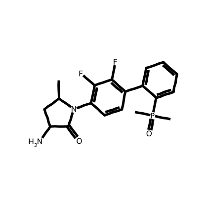 CC1CC(N)C(=O)N1c1ccc(-c2ccccc2P(C)(C)=O)c(F)c1F